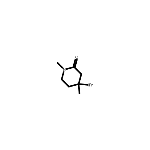 CC(C)C1(C)CCN(C)C(=O)C1